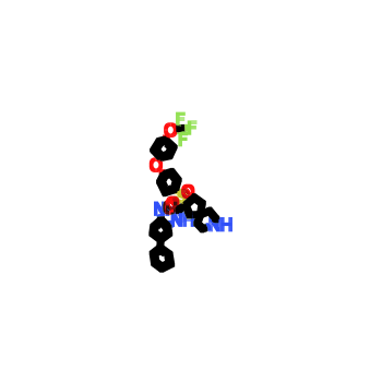 Nc1ccc(-c2ccccc2)cc1NC(=O)C1(S(=O)(=O)c2ccc(Oc3ccc(OC(F)(F)F)cc3)cc2)CCC2(CCNCC2)C1